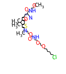 COCCNC(=O)/C(C#N)=C/c1cc2c(o1)-c1sc(N(C)CCOC(=O)NCCOCCOCCCCCCCl)cc1C2(C)C